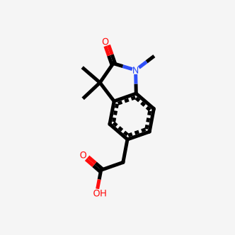 CN1C(=O)C(C)(C)c2cc(CC(=O)O)ccc21